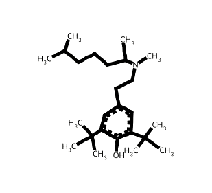 CC(C)CCCC(C)N(C)CCc1cc(C(C)(C)C)c(O)c(C(C)(C)C)c1